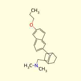 CCCOc1ccc2cc(C3=C(CN(C)C)C4CCC3CC4)ccc2c1